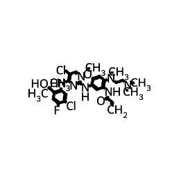 C=CC(=O)Nc1cc(Nc2ncc(Cl)c(Nc3cc(Cl)c(F)cc3C(C)(C)O)n2)c(OC)cc1N(C)CCN(C)C